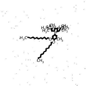 CCCCCCCCCCCCOc1cc(-n2c3cc([Si](C)(C)C)sc3c3sc([Si](C)(C)C)cc32)cc(C)c1OCCCCCCCCCCCC